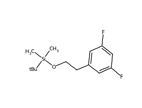 CC(C)(C)[Si](C)(C)OCCc1cc(F)cc(F)c1